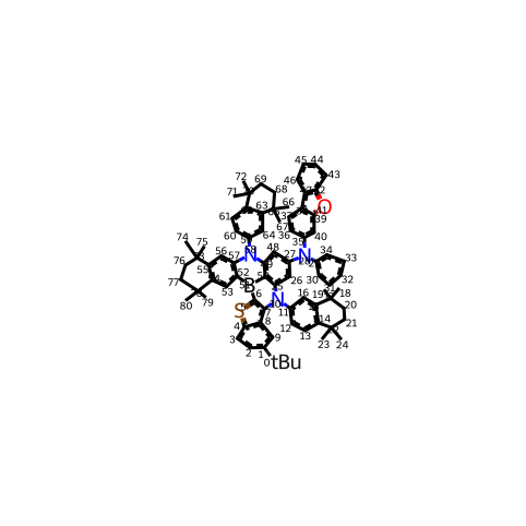 CC(C)(C)c1ccc2sc3c(c2c1)N(c1ccc2c(c1)C(C)(C)CCC2(C)C)c1cc(N(c2ccccc2)c2ccc4c(c2)oc2ccccc24)cc2c1B3c1cc3c(cc1N2c1ccc2c(c1)C(C)(C)CCC2(C)C)C(C)(C)CCC3(C)C